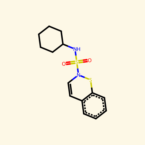 O=S(=O)(NC1CCCCC1)N1C=Cc2ccccc2S1